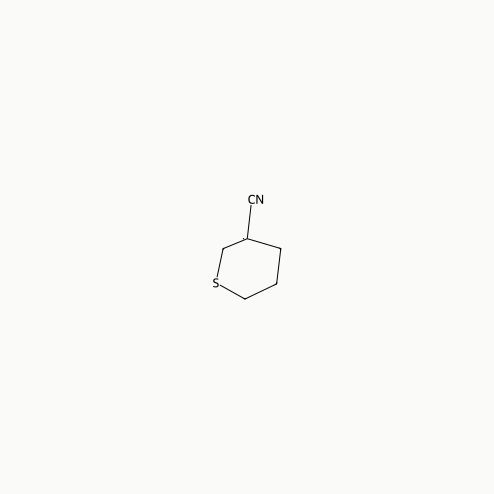 N#C[C]1CCCSC1